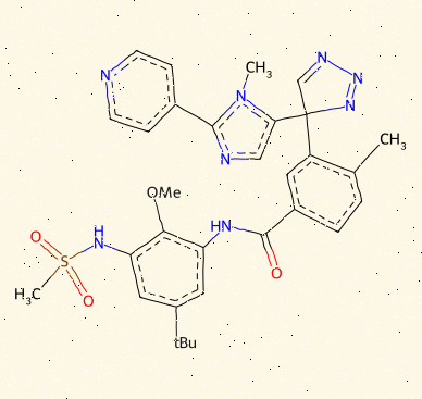 COc1c(NC(=O)c2ccc(C)c(C3(c4cnc(-c5ccncc5)n4C)C=NN=N3)c2)cc(C(C)(C)C)cc1NS(C)(=O)=O